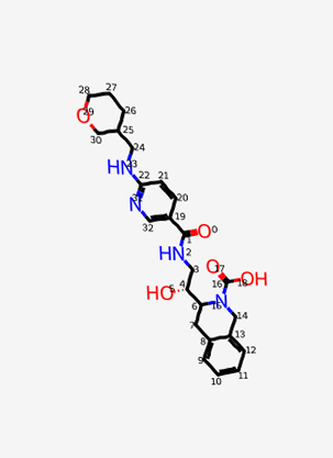 O=C(NC[C@@H](O)C1Cc2ccccc2CN1C(=O)O)c1ccc(NCC2CCCOC2)nc1